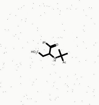 CC(=O)C(C)(C)NC(CC(=O)O)C(=O)C(C)C